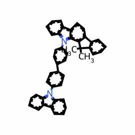 CC1(C)c2ccccc2-c2ccc3c4ccccc4n(-c4ccc(-c5ccc(-n6c7ccccc7c7ccccc76)cc5)cc4)c3c21